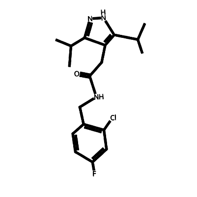 CC(C)c1n[nH]c(C(C)C)c1CC(=O)NCc1ccc(F)cc1Cl